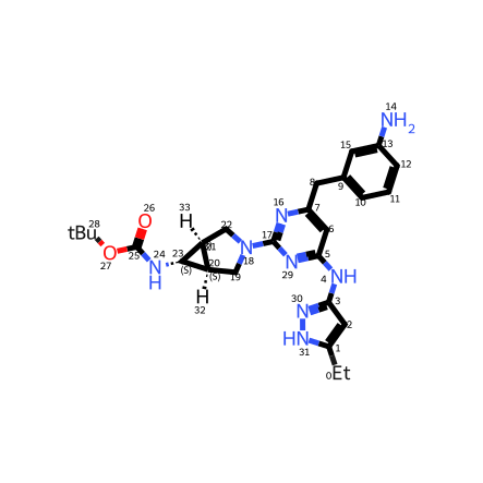 CCc1cc(Nc2cc(Cc3cccc(N)c3)nc(N3C[C@@H]4[C@H](C3)[C@H]4NC(=O)OC(C)(C)C)n2)n[nH]1